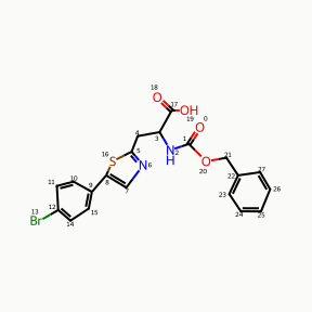 O=C(NC(Cc1ncc(-c2ccc(Br)cc2)s1)C(=O)O)OCc1ccccc1